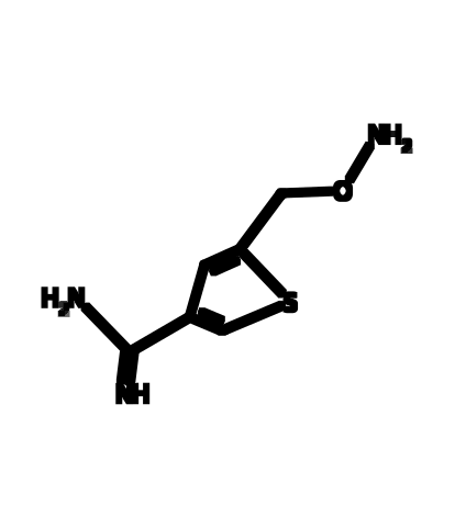 N=C(N)c1csc(CON)c1